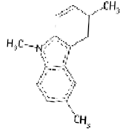 Cc1ccc2c(c1)c1c(n2C)C=CC(C)C1